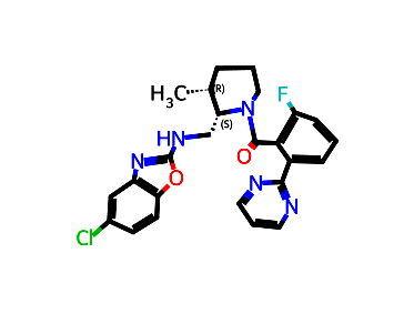 C[C@@H]1CCCN(C(=O)c2c(F)cccc2-c2ncccn2)[C@@H]1CNc1nc2cc(Cl)ccc2o1